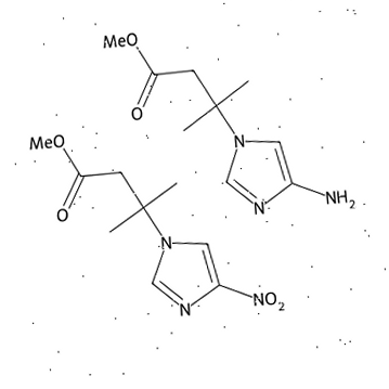 COC(=O)CC(C)(C)n1cnc(N)c1.COC(=O)CC(C)(C)n1cnc([N+](=O)[O-])c1